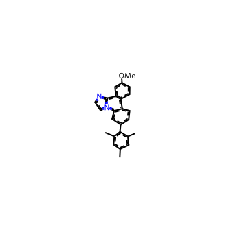 COc1ccc2c3ccc(-c4c(C)cc(C)cc4C)cc3n3ccnc3c2c1